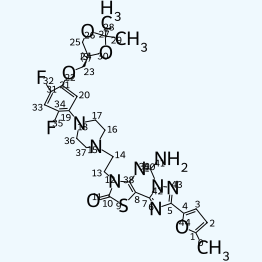 Cc1ccc(-c2nc3c4sc(=O)n(CCN5CCN(c6cc(OC[C@H]7COC(C)(C)O7)c(F)cc6F)CC5)c4nc(N)n3n2)o1